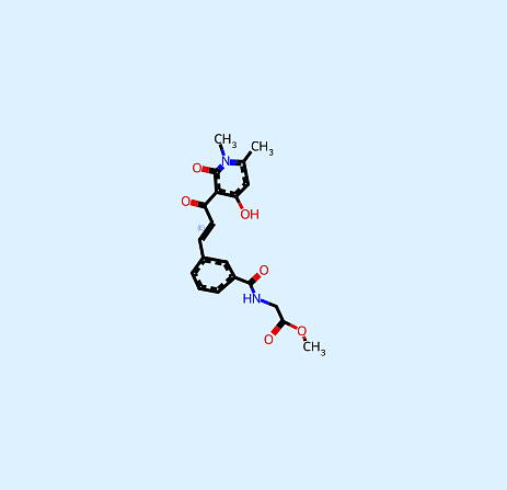 COC(=O)CNC(=O)c1cccc(/C=C/C(=O)c2c(O)cc(C)n(C)c2=O)c1